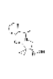 C[C@H](c1ccccc1)N1C/C(=N\O)C2(CC2)C1=O